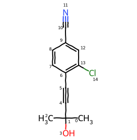 CC(C)(O)C#Cc1ccc(C#N)cc1Cl